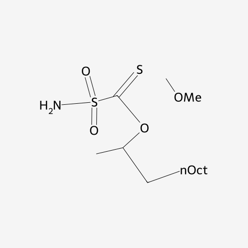 CCCCCCCCCC(C)OC(=S)S(N)(=O)=O.COC